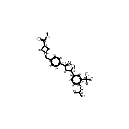 COC(=O)C1CN(Cc2ccc(C3=NOC(c4ccc(OC(C)C)c(C(F)(F)F)c4)C3)cc2)C1